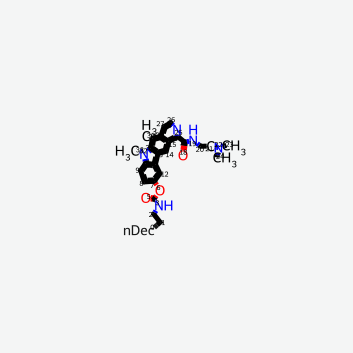 CCCCCCCCCCCCNC(=O)Oc1ccc2c(c1)c1cc3c(C(=O)NCCN(C)C)nccc3c(C)c1n2C